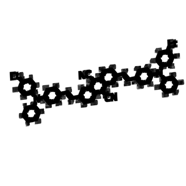 CCc1ccc(N(c2ccccc2)c2ccc(C=Cc3ccc4c(C#N)c5cc(C=Cc6ccc(N(c7ccccc7)c7ccc(CC)cc7)cc6)ccc5c(C#N)c4c3)cc2)cc1